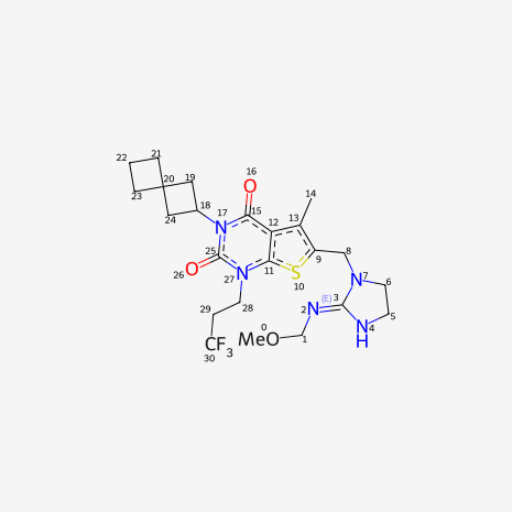 COC/N=C1\NCCN1Cc1sc2c(c1C)c(=O)n(C1CC3(CCC3)C1)c(=O)n2CCC(F)(F)F